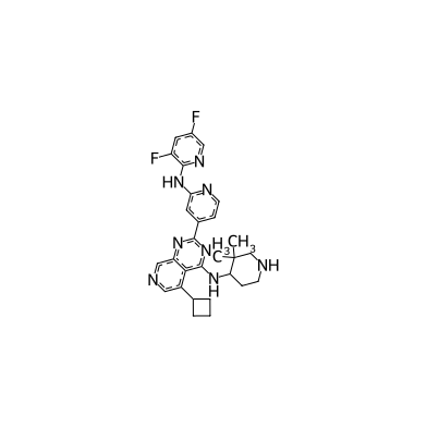 CC1(C)CNCCC1Nc1nc(-c2ccnc(Nc3ncc(F)cc3F)c2)nc2cncc(C3CCC3)c12